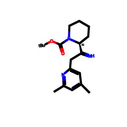 Cc1cc(C)nc(CC(=N)[C@@H]2CCCCN2C(=O)OC(C)(C)C)c1